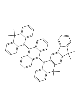 CC1(C)c2ccccc2-c2cc3c(cc21)C(C)(C)c1ccccc1N3c1c2ccccc2c(N2c3ccccc3C(C)(C)c3ccccc32)c2ccccc12